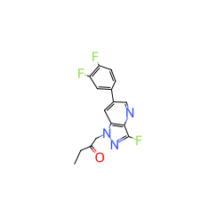 CCC(=O)Cn1nc(F)c2ncc(-c3ccc(F)c(F)c3)cc21